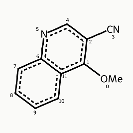 COc1c(C#N)cnc2ccccc12